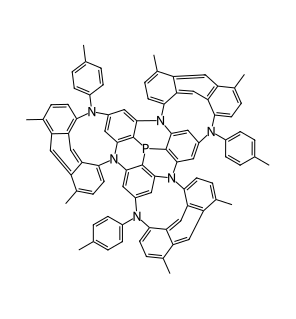 Cc1ccc(-n2c3cc4c5c(c3)n3c6ccc(C)c7cc8c(C)ccc(c8cc76)n(-c6ccc(C)cc6)c6cc3c3c(c6)n6c7ccc(C)c8cc9c(C)ccc(c9cc87)n(-c7ccc(C)cc7)c7cc6c(c(c7)n4c4ccc(C)c6cc7c(C)ccc2c7cc64)p53)cc1